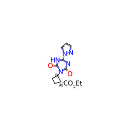 CCOC(=O)[C@@H]1CC[C@H]1n1c(=O)nc(-n2cccn2)[nH]c1=O